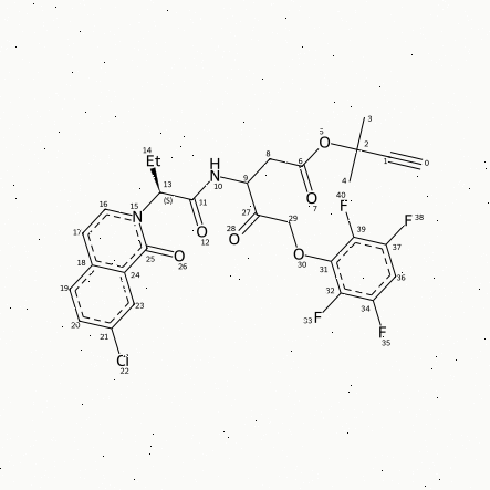 C#CC(C)(C)OC(=O)CC(NC(=O)[C@H](CC)n1ccc2ccc(Cl)cc2c1=O)C(=O)COc1c(F)c(F)cc(F)c1F